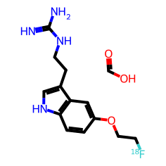 N=C(N)NCCc1c[nH]c2ccc(OCC[18F])cc12.O=CO